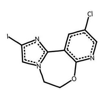 Clc1cnc2c(c1)-c1nc(I)cn1CCO2